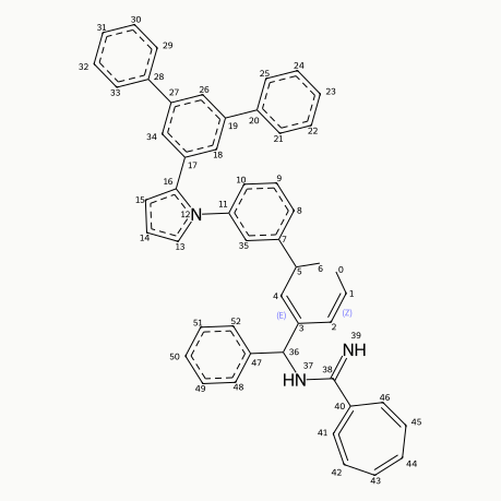 C/C=C\C(=C/C(C)c1cccc(-n2cccc2-c2cc(-c3ccccc3)cc(-c3ccccc3)c2)c1)C(NC(=N)C1=C=CC=CC=C1)c1ccccc1